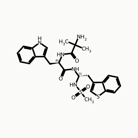 CC(C)(N)C(=O)N[C@H](Cc1c[nH]c2ccccc12)C(=O)N[C@H](Cc1csc2ccccc12)NS(C)(=O)=O